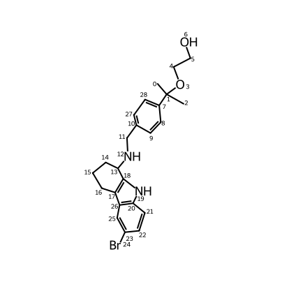 CC(C)(OCCO)c1ccc(CNC2CCCc3c2[nH]c2ccc(Br)cc32)cc1